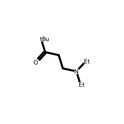 CCN(CC)CCC(=O)C(C)(C)C